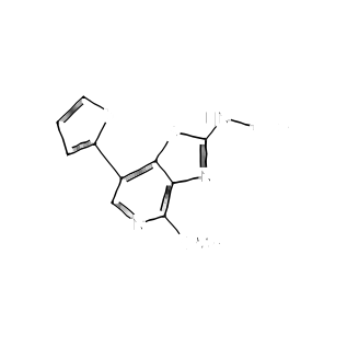 COc1ncc(-c2cccs2)c2sc(NC=O)nc12